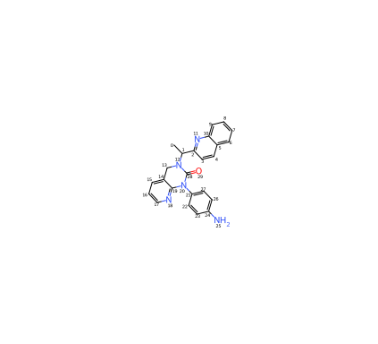 CC(c1ccc2ccccc2n1)N1Cc2cccnc2N(c2ccc(N)cc2)C1=O